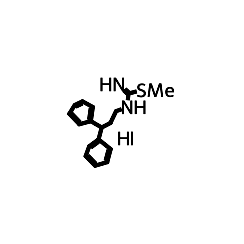 CSC(=N)NCCC(c1ccccc1)c1ccccc1.I